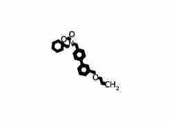 C=CCOCc1cccc(-c2ccc(CN3CC4(CCCCC4)OC3=O)cc2)c1